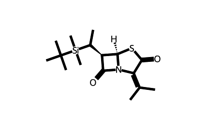 CC(C)=C1C(=O)S[C@@H]2[C@H](C(C)[Si](C)(C)C(C)(C)C)C(=O)N12